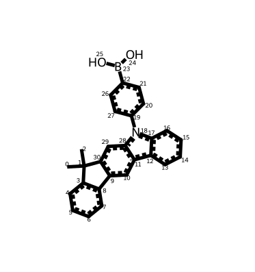 CC1(C)c2ccccc2-c2cc3c4ccccc4n(-c4ccc(B(O)O)cc4)c3cc21